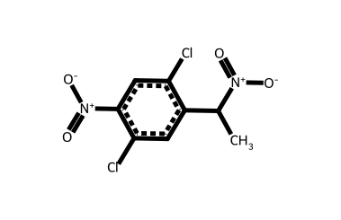 CC(c1cc(Cl)c([N+](=O)[O-])cc1Cl)[N+](=O)[O-]